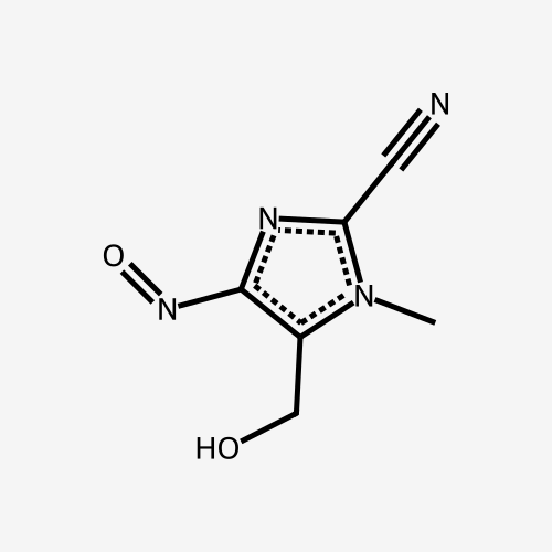 Cn1c(C#N)nc(N=O)c1CO